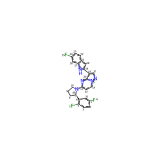 Fc1ccc(F)c([C@H]2CCCN2c2ccn3ncc(-c4cc5ccc(F)cc5[nH]4)c3n2)c1